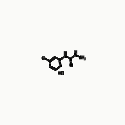 Cl.NNC(=O)Nc1cccc(Cl)c1